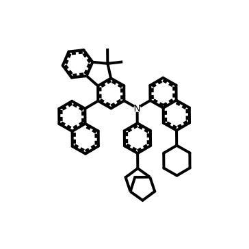 CC1(C)c2ccccc2-c2c(-c3cccc4ccccc34)cc(N(c3ccc(C4CC5CCC4C5)cc3)c3cccc4ccc(C5CCCCC5)cc34)cc21